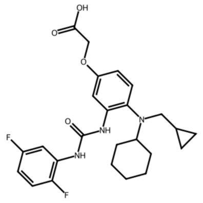 O=C(O)COc1ccc(N(CC2CC2)C2CCCCC2)c(NC(=O)Nc2cc(F)ccc2F)c1